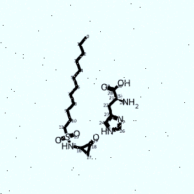 CCCCCCCCCCCCS(=O)(=O)NC1CC1=O.N[C@@H](Cc1c[nH]cn1)C(=O)O